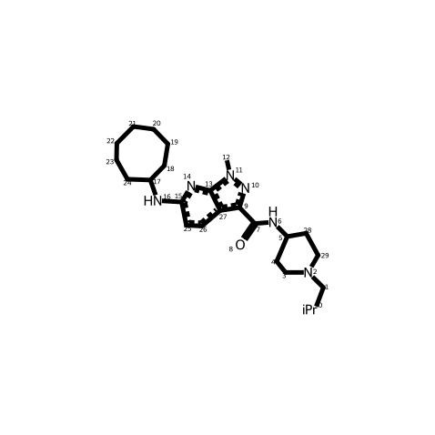 CC(C)CN1CCC(NC(=O)c2nn(C)c3nc(NC4CCCCCCC4)ccc23)CC1